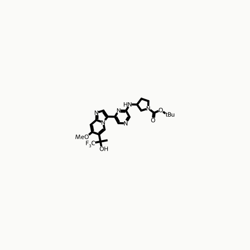 COc1cc2ncc(-c3cncc(NC4CCN(C(=O)OC(C)(C)C)C4)n3)n2cc1C(C)(O)C(F)(F)F